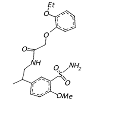 CCOc1ccccc1OCC(=O)NCC(C)c1ccc(OC)c(S(N)(=O)=O)c1